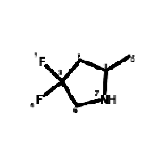 [CH2]C1CC(F)(F)CN1